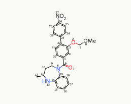 COCOc1cc(C(=O)N2CC[C@H](C)Nc3ccccc32)ccc1-c1ccc([N+](=O)[O-])cc1